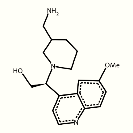 COc1ccc2nccc([C@@H](CO)N3CCCC(CN)C3)c2c1